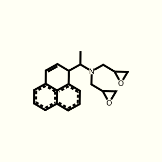 CC(C1C=Cc2cccc3cccc1c23)N(CC1CO1)CC1CO1